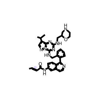 C/C=C/C(=O)Nc1ccc2c(-c3ccccc3CNc3nc(NCC4CNCCO4)nc4c(C(C)C)cnn34)nccc2c1